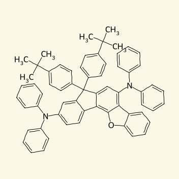 CC(C)(C)c1ccc(C2(c3ccc(C(C)(C)C)cc3)c3cc(N(c4ccccc4)c4ccccc4)ccc3-c3c2cc(N(c2ccccc2)c2ccccc2)c2c3oc3ccccc32)cc1